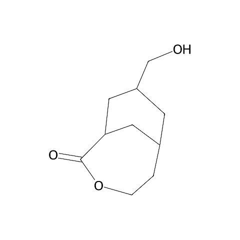 O=C1OCCC2CC(CO)CC1C2